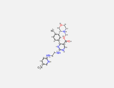 N#Cc1ccc(-c2nc(NCCNc3ccc([N+](=O)[O-])cn3)ncc2C(=O)OCN2CCOCC2)cc1